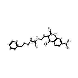 CCN(CC)c1ccc2c(c1)OC(=O)C(CCOC(=O)NCCCc1ccccc1)C2C